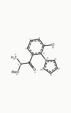 CON(C)C(=O)c1cccc(Cl)c1-n1cccn1